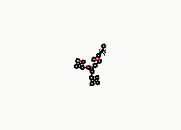 c1ccc(-c2nnc(-c3ccc(-c4ccccc4-c4ccccc4-c4ccc(-n5c6ccc(-c7ccc8c(c7)C(c7ccccc7)(c7ccccc7)c7ccccc7-8)cc6c6cc(-c7ccc8c(c7)C(c7ccccc7)(c7ccccc7)c7ccccc7-8)ccc65)cc4)cc3)o2)cc1